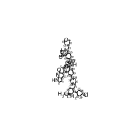 C[C@@H]1COc2nc3[nH]ccc3cc2N1c1cc(N2CCN(CC3=C(c4ccc(Cl)cc4)CC(C)(C)CC3)CC2)ccc1C(=O)NS(=O)(=O)c1ccc(NCC2CCOCC2)c([N+](=O)[O-])c1